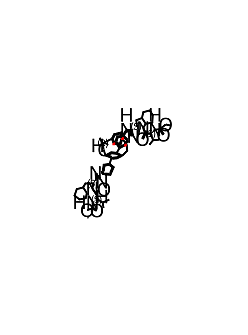 COC(=O)N[C@H](C(=O)N1C2CCCCC2C[C@H]1c1nc2cc(-c3cc4c(-c5ccc6[nH]c([C@@H]7CC8CCCCC8N7C(=O)[C@@H](NC(=O)OC)C(C)C)nc6c5)cc3CCc3ccc(cc3)[C@H](C)C4)ccc2[nH]1)C(C)C